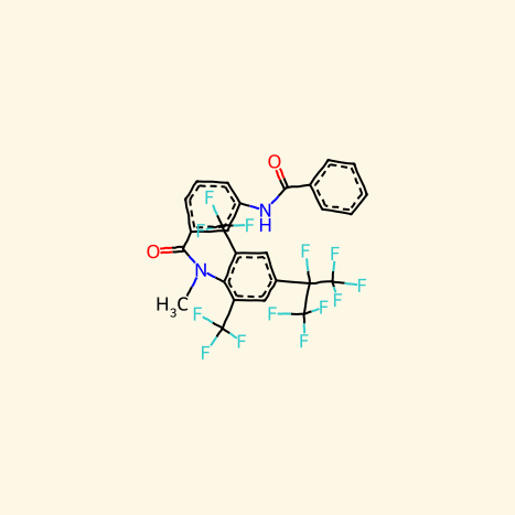 CN(C(=O)c1cccc(NC(=O)c2ccccc2)c1)c1c(C(F)(F)F)cc(C(F)(C(F)(F)F)C(F)(F)F)cc1C(F)(F)F